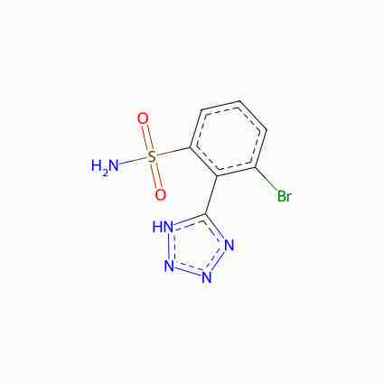 NS(=O)(=O)c1cccc(Br)c1-c1nnn[nH]1